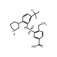 CCc1ccc(C(=O)O)cc1S(=O)(=O)Nc1cc(C(F)(F)F)ccc1N1CCC[C@@H](F)C1